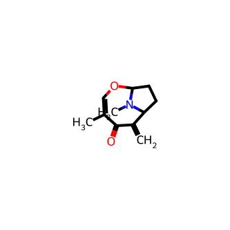 C=C1C(=O)/C(C)=C\OC2CCC1N2C